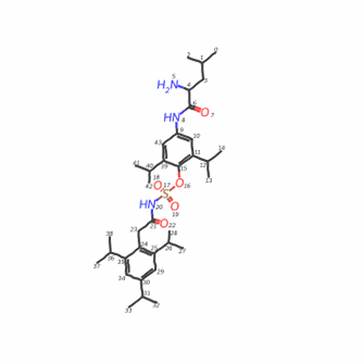 CC(C)CC(N)C(=O)Nc1cc(C(C)C)c(OS(=O)(=O)NC(=O)Cc2c(C(C)C)cc(C(C)C)cc2C(C)C)c(C(C)C)c1